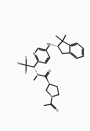 CC(=O)N1CC[C@H](C(=O)N(C)[C@@H](c2ccc(N[C@H]3Cc4ccccc4C3(C)C)cn2)C(F)(F)F)C1